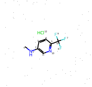 CNc1ccc(C(F)(F)F)nc1.Cl